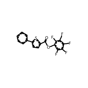 O=C(Oc1c(F)c(F)c(F)c(F)c1F)c1ccc(-c2ccccc2)s1